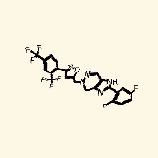 Fc1ccc(F)c(-c2nc3c([nH]2)C=NN(Cc2cc(-c4ccc(C(F)(F)F)cc4C(F)(F)F)no2)C3)c1